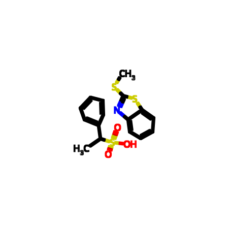 CC(c1ccccc1)S(=O)(=O)O.CSc1nc2ccccc2s1